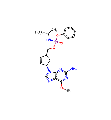 CC(C)Oc1nc(N)nc2c1ncn2[C@H]1C=C[C@@H](CO[P@](=O)(N[C@@H](C)C(=O)O)Oc2ccccc2)C1